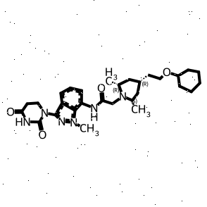 C[C@@H]1C[C@H](CCOC2CCCCC2)C[C@H](C)N1CC(=O)Nc1cccc2c(N3CCC(=O)NC3=O)nn(C)c12